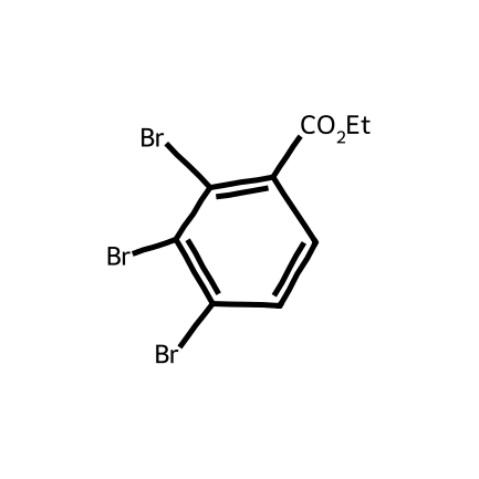 CCOC(=O)c1ccc(Br)c(Br)c1Br